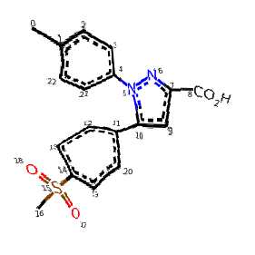 Cc1ccc(-n2nc(C(=O)O)cc2-c2ccc(S(C)(=O)=O)cc2)cc1